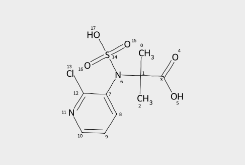 CC(C)(C(=O)O)N(c1cccnc1Cl)S(=O)(=O)O